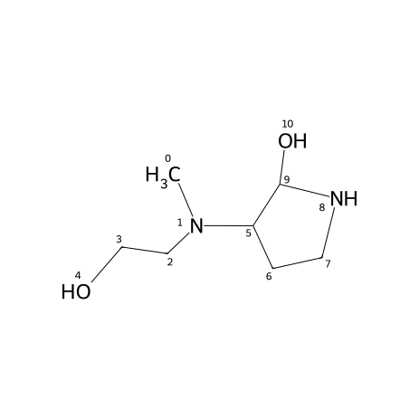 CN(CCO)C1CCNC1O